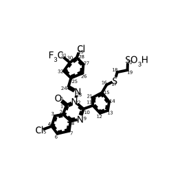 O=c1c2cc(Cl)ccc2nc(-c2cccc(CSCCS(=O)(=O)O)c2)n1/N=C/c1ccc(Cl)c(C(F)(F)F)c1